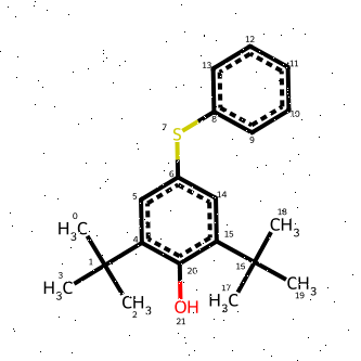 CC(C)(C)c1cc(Sc2cc[c]cc2)cc(C(C)(C)C)c1O